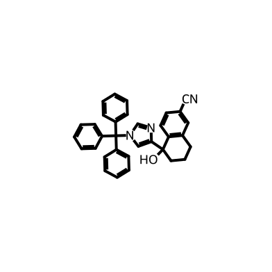 N#Cc1ccc2c(c1)CCCC2(O)c1cn(C(c2ccccc2)(c2ccccc2)c2ccccc2)cn1